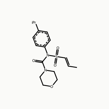 CC=CS(=O)(=O)N(C(=O)N1CCOCC1)c1ccc(C(C)C)cc1